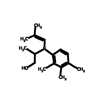 CC(C)=CN(c1ccc(C)c(C)c1C)C(C)CO